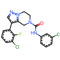 O=C(Nc1cccc(Cl)c1)N1CCn2ncc(-c3cccc(Cl)c3F)c2C1